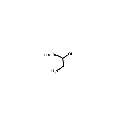 Br.NCC(O)Br